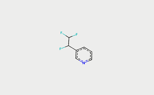 FC(F)C(F)c1cccnc1